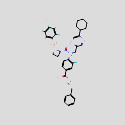 O=C(NOCc1ccccc1)c1ccc(N(Cc2cnc(C3CCCCC3)cn2)C(=O)[C@H]2CCN2S(=O)(=O)c2c(F)c(F)c(F)c(F)c2F)c(F)c1